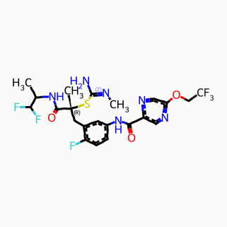 C/N=C(/N)S[C@](C)(Cc1cc(NC(=O)c2cnc(OCC(F)(F)F)cn2)ccc1F)C(=O)NC(C)C(F)F